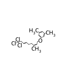 CC(=CCOc1cc(C)cc(C)c1)CCC=CCC(Cl)(Cl)Cl